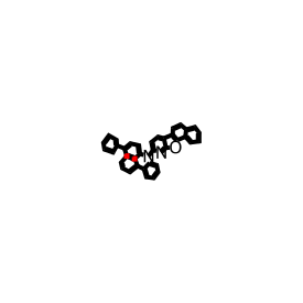 c1ccc(-c2ccc(N(c3ccc4c(n3)oc3c5ccccc5ccc43)c3ccccc3-c3ccccc3)cc2)cc1